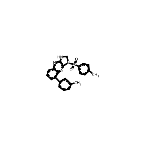 Cc1ccc(S(=O)(=O)N2CNc3nc4cccc(-c5cccc(C)c5)c4nc32)cc1